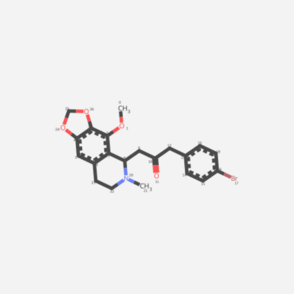 COc1c2c(cc3c1C(CC(=O)Cc1ccc(Br)cc1)N(C)CC3)OCO2